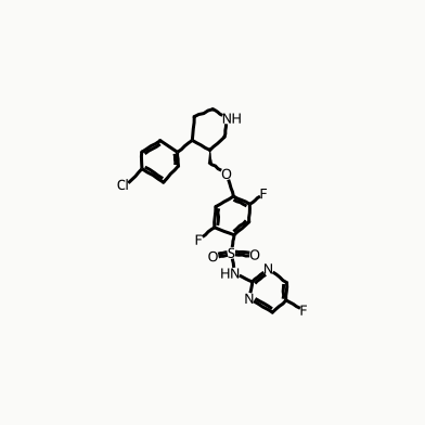 O=S(=O)(Nc1ncc(F)cn1)c1cc(F)c(OC[C@@H]2CNCCC2c2ccc(Cl)cc2)cc1F